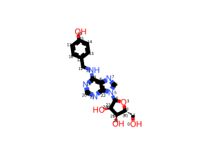 OC[C@H]1OC(n2cnc3c(NCc4ccc(O)cc4)ncnc32)[C@H](O)[C@@H]1O